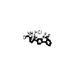 Cl.NC(=O)c1ccc(-c2ccc(-c3ccccc3C(F)(F)F)cc2)[nH]1